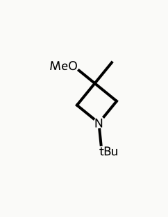 COC1(C)CN(C(C)(C)C)C1